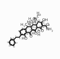 C[C@H]1c2ccc(CCc3ccccc3)c(O)c2C(=O)C2=C(O)[C@]3(O)C(=O)C(C(N)=O)=C(O)[C@@H](N(C)C)[C@@H]3[C@@H](O)[C@@H]21